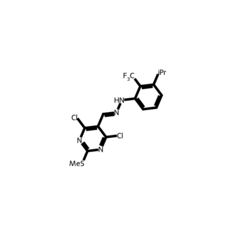 CSc1nc(Cl)c(/C=N/Nc2cccc(C(C)C)c2C(F)(F)F)c(Cl)n1